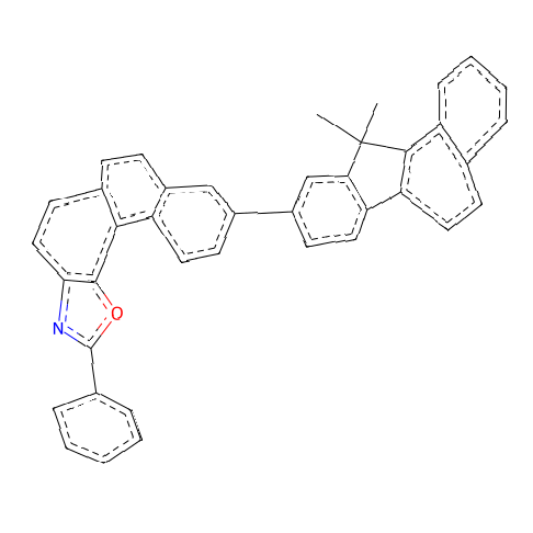 CC1(C)c2cc(-c3ccc4c(ccc5ccc6nc(-c7ccccc7)oc6c54)c3)ccc2-c2ccc3ccccc3c21